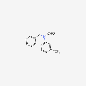 O=CN(Cc1ccccc1)c1cccc(C(F)(F)F)c1